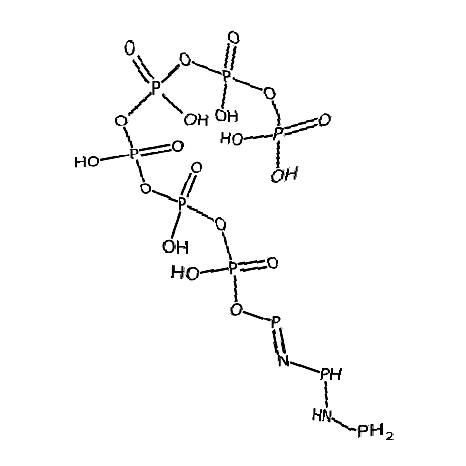 O=P(O)(O)OP(=O)(O)OP(=O)(O)OP(=O)(O)OP(=O)(O)OP(=O)(O)OP=NPNP